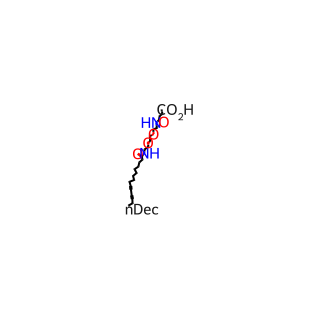 CCCCCCCCCCCCC#CC#CCCCCCCCCC(=O)NCCOCCOCCNC(=O)CCC(=O)O